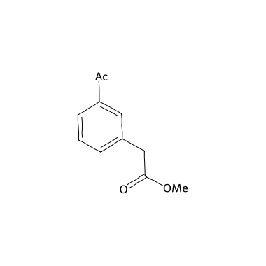 COC(=O)Cc1cccc(C(C)=O)c1